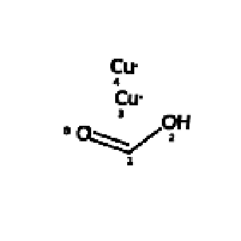 O=CO.[Cu].[Cu]